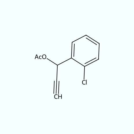 C#CC(OC(C)=O)c1ccccc1Cl